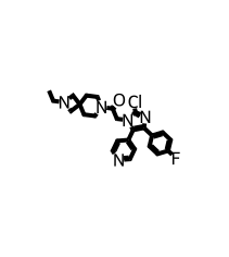 CCN1CC2(CCN(C(=O)Cn3c(Cl)nc(-c4ccc(F)cc4)c3-c3ccncc3)CC2)C1